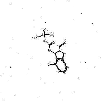 CC(C)(C)OC(=O)NC1c2c(Cl)cccc2C[C@@H]1C=O